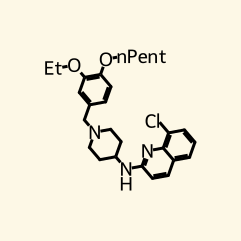 CCCCCOc1ccc(CN2CCC(Nc3ccc4cccc(Cl)c4n3)CC2)cc1OCC